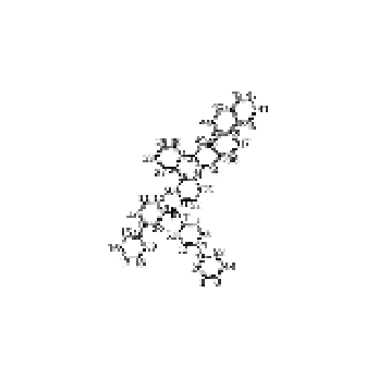 c1ccc(-c2ccc(N(c3cccc(-c4ccccc4)c3)c3cccc(-c4ccccc4-c4ccc5ccc6c7ccccc7ccc6c5c4)c3)cc2)cc1